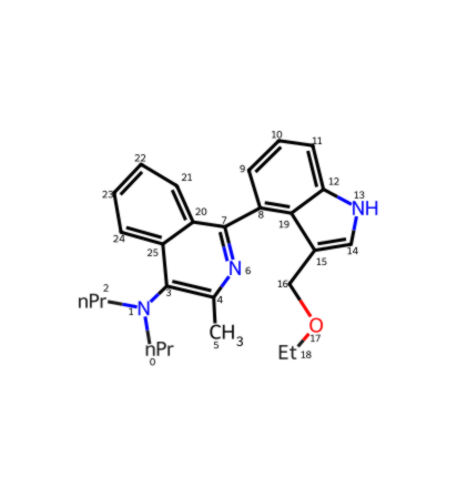 CCCN(CCC)c1c(C)nc(-c2cccc3[nH]cc(COCC)c23)c2ccccc12